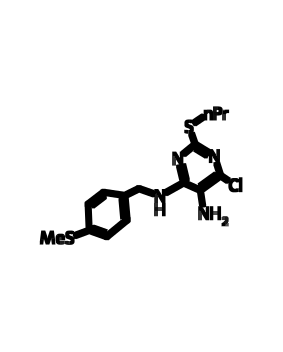 CCCSc1nc(Cl)c(N)c(NCc2ccc(SC)cc2)n1